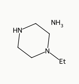 CCN1CCNCC1.N